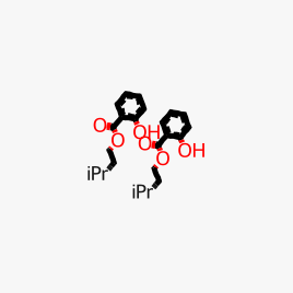 CC(C)CCOC(=O)c1ccccc1O.CC(C)CCOC(=O)c1ccccc1O